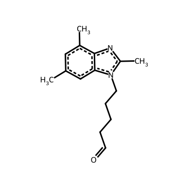 Cc1cc(C)c2nc(C)n(CCCCC=O)c2c1